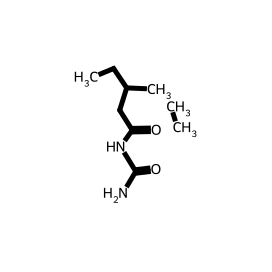 CC.CCC(C)CC(=O)NC(N)=O